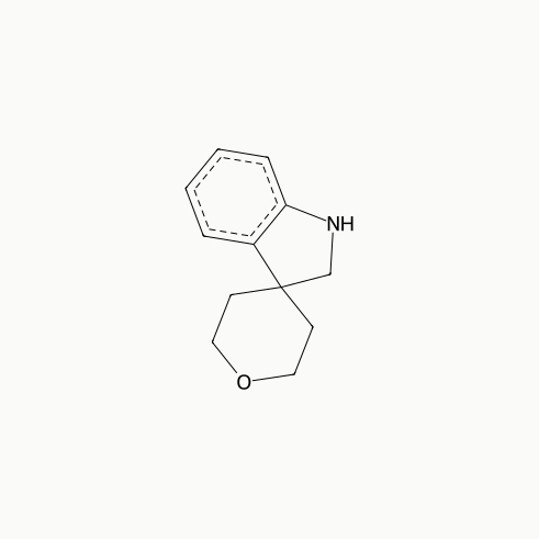 c1ccc2c(c1)NCC21CCOCC1